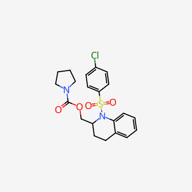 O=C(OCC1CCc2ccccc2N1S(=O)(=O)c1ccc(Cl)cc1)N1CCCC1